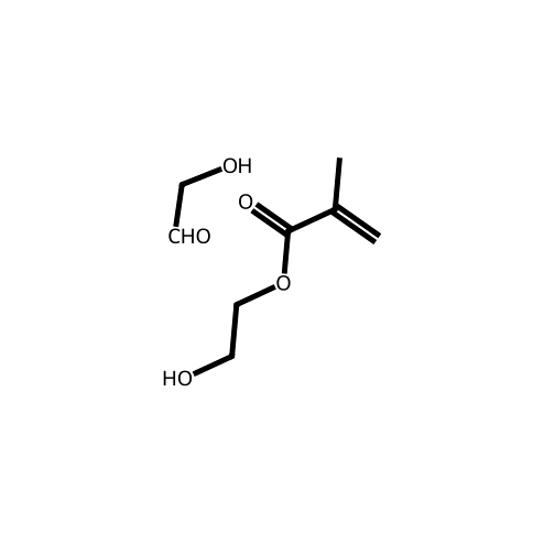 C=C(C)C(=O)OCCO.O=CCO